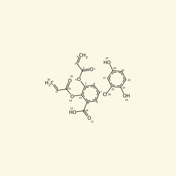 C=CC(=O)Oc1cccc(C(=O)O)c1OC(=O)C=C.Oc1ccc(O)c(Cl)c1